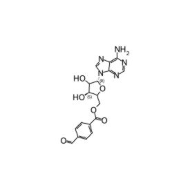 Nc1ncnc2c1ncn2[C@@H]1OC(COC(=O)c2ccc(C=O)cc2)[C@@H](O)C1O